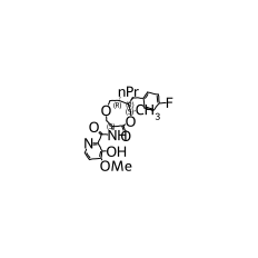 CCC[C@H]1COC[C@H](NC(=O)c2nccc(OC)c2O)C(=O)O[C@@H](C)[C@@H]1Cc1ccc(F)cc1